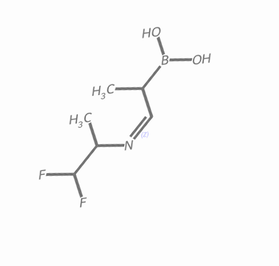 CC(/C=N\C(C)C(F)F)B(O)O